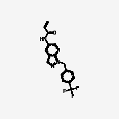 C=CC(=O)Nc1cnc2c(cnn2Cc2ccc(C(F)(F)F)cc2)c1